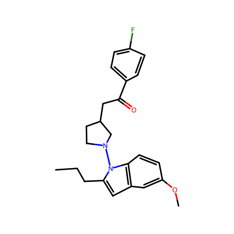 CCCc1cc2cc(OC)ccc2n1N1CCC(CC(=O)c2ccc(F)cc2)C1